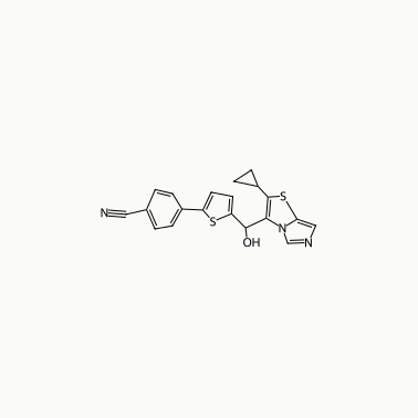 N#Cc1ccc(-c2ccc(C(O)c3c(C4CC4)sc4cncn34)s2)cc1